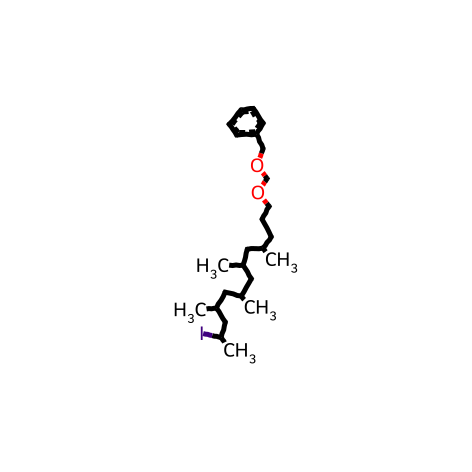 CC(I)CC(C)CC(C)CC(C)CC(C)CCCOCOCc1ccccc1